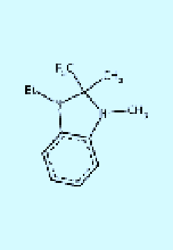 CCN1c2ccccc2N(C)C1(C)C(F)(F)F